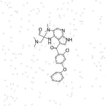 CN(C)CC(C)(C=O)Nc1c(N(C)C)cnc2[nH]cc(C(=O)c3ccc(Oc4ccccc4)cc3Cl)c12